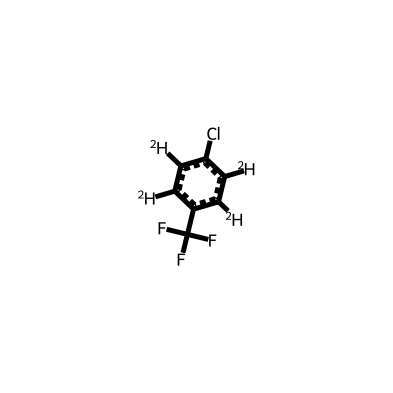 [2H]c1c([2H])c(C(F)(F)F)c([2H])c([2H])c1Cl